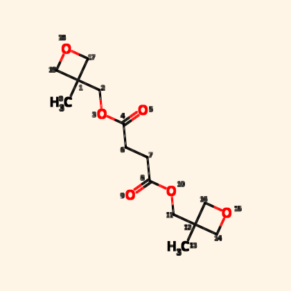 CC1(COC(=O)CCC(=O)OCC2(C)COC2)COC1